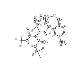 CC(C)(C)OC(=O)N(C(=O)OC(C)(C)C)C1=N[C@]2(C)c3cc(N)ccc3OCC[C@H]2S(=O)(=O)C1(C)C